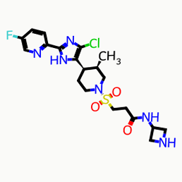 C[C@H]1CN(S(=O)(=O)CCC(=O)NC2CNC2)CC[C@H]1c1[nH]c(-c2ccc(F)cn2)nc1Cl